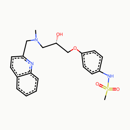 CN(Cc1ccc2ccccc2n1)C[C@H](O)COc1ccc(NS(C)(=O)=O)cc1